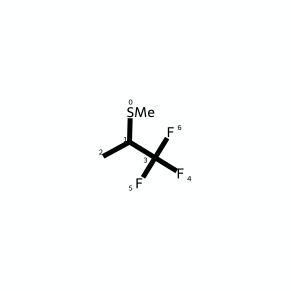 CSC(C)C(F)(F)F